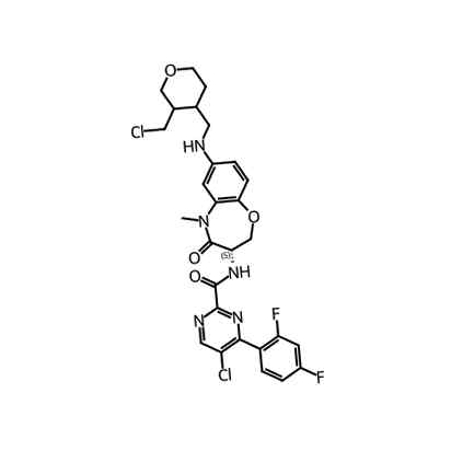 CN1C(=O)[C@@H](NC(=O)c2ncc(Cl)c(-c3ccc(F)cc3F)n2)COc2ccc(NCC3CCOCC3CCl)cc21